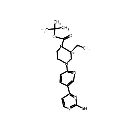 CC[C@H]1CN(c2ccc(-c3ccnc(S)n3)cn2)CCN1C(=O)OC(C)(C)C